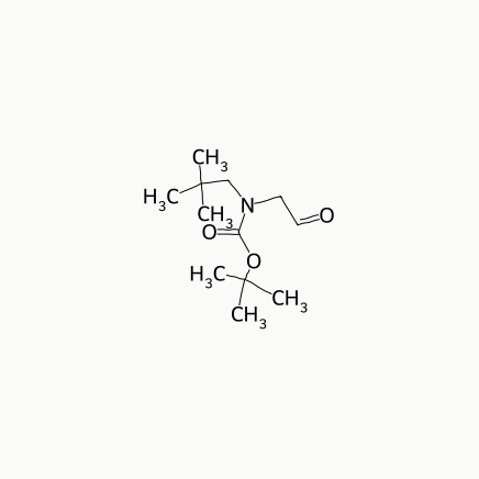 CC(C)(C)CN(CC=O)C(=O)OC(C)(C)C